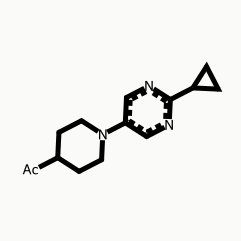 CC(=O)C1CCN(c2cnc(C3CC3)nc2)CC1